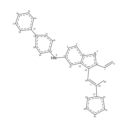 C=Cc1sc2ccc(Nc3ccc(-c4ccccc4)cc3)cc2c1/C=C(\C)c1ccccc1